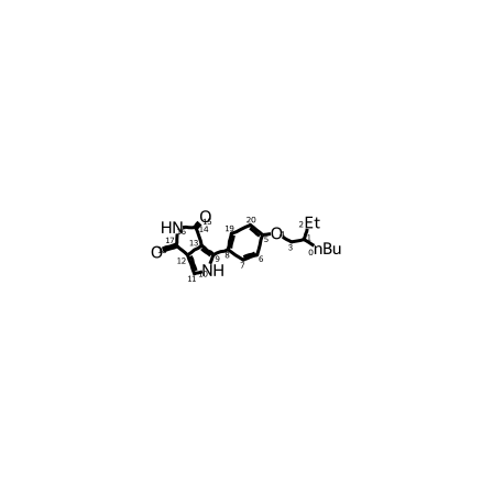 CCCCC(CC)COc1ccc(-c2[nH]cc3c2C(=O)NC3=O)cc1